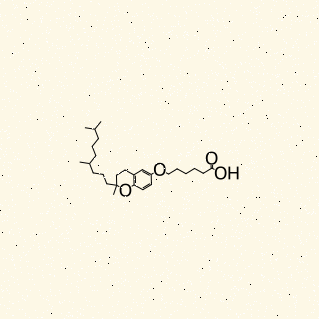 CC(C)CCCC(C)CCCC1(C)CCc2cc(OCCCCCC(=O)O)ccc2O1